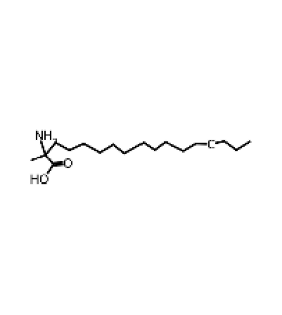 CCCCCCCCCCCCCCCC(C)(N)C(=O)O